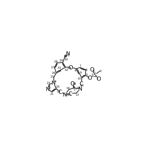 CS(=O)(=O)Oc1ccc2cc1CN1CCN(CC1=O)Cc1cncn1Cc1ccc(C#N)c(c1)O2